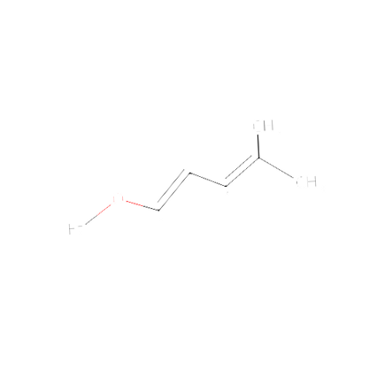 CCOC=CC=C(C)C